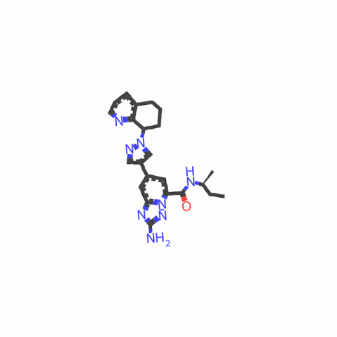 CC[C@H](C)NC(=O)c1cc(-c2cnn(C3CCCc4cccnc43)c2)cc2nc(N)nn12